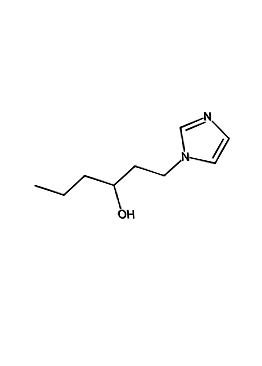 CCCC(O)CCn1ccnc1